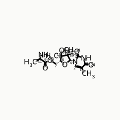 Cc1cn([C@@H]2O[C@H](COC(=O)C(C)N)[C@@](C)(O)[C@@]2(C)F)c(=O)[nH]c1=O